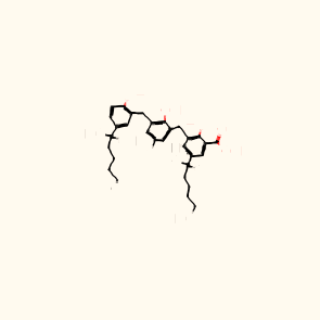 CCCCCC(C)(C)c1ccc(O)c(Cc2cc(C)cc(Cc3cc(C(C)(C)CCCCC)cc(C(=O)O)c3O)c2O)c1